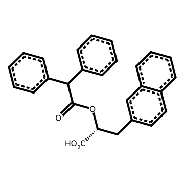 O=C(O[C@H](Cc1ccc2ccccc2c1)C(=O)O)C(c1ccccc1)c1ccccc1